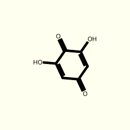 O=C1C=C(O)C(=O)C(O)=C1